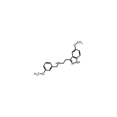 COc1cccc(CNCCc2n[nH]c3ccc(OC)cc23)c1